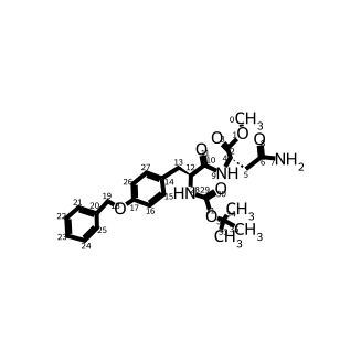 COC(=O)[C@H](CC(N)=O)NC(=O)[C@H](Cc1ccc(OCc2ccccc2)cc1)NC(=O)OC(C)(C)C